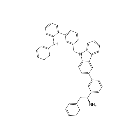 N[C@@H](CC1=CC=CCC1)c1cccc(-c2ccc3c(c2)c2ccccc2n3Cc2cccc(-c3ccccc3NC3=CC=CCC3)c2)c1